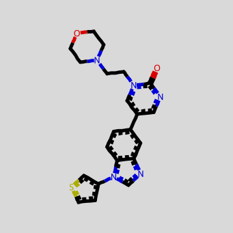 O=c1ncc(-c2ccc3c(c2)ncn3-c2ccsc2)cn1CCN1CCOCC1